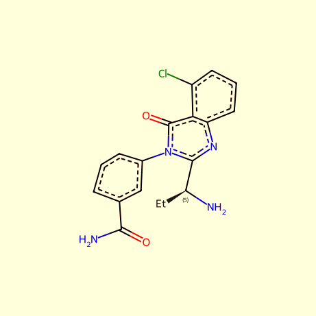 CC[C@H](N)c1nc2cccc(Cl)c2c(=O)n1-c1cccc(C(N)=O)c1